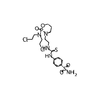 NS(=O)(=O)c1ccc(NC(=S)NCCN2CCCOP2(=O)N(CCCl)CCCl)cc1